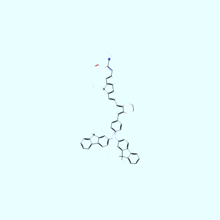 CC1(C)c2ccccc2-c2ccc(N(c3ccc(-c4sc(-c5cc6c(s5)-c5sc(/C=C(/C#N)OC=O)cc5C6(C)C)c5c4OCCO5)cc3)c3ccc4c(c3)C(C)(C)c3ccccc3-4)cc21